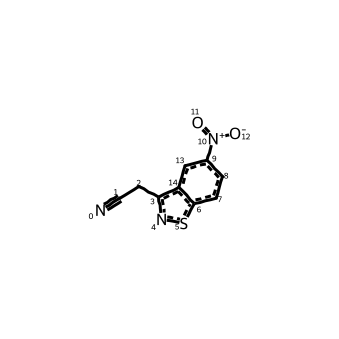 N#CCc1nsc2ccc([N+](=O)[O-])cc12